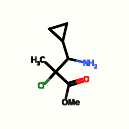 COC(=O)C(C)(Cl)C(N)C1CC1